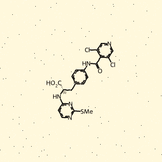 CSc1nccc(N[C@@H](Cc2ccc(NC(=O)c3c(Cl)cncc3Cl)cc2)C(=O)O)n1